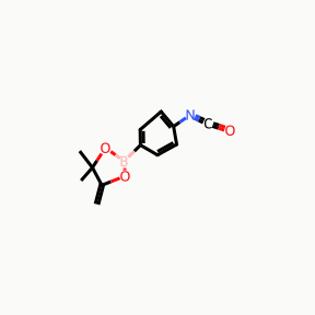 C=C1OB(c2ccc(N=C=O)cc2)OC1(C)C